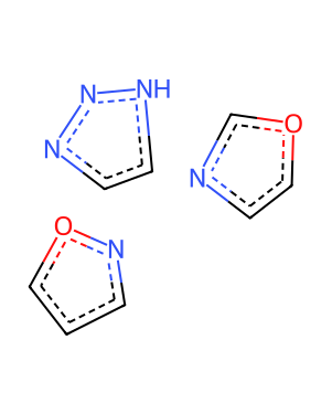 c1c[nH]nn1.c1cnoc1.c1cocn1